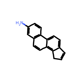 Nc1ccc2c(ccc3c4c(ccc32)C=CC4)c1